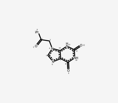 CC(C)C(=O)Cn1cnc2c(=O)[nH]c(=O)[nH]c21